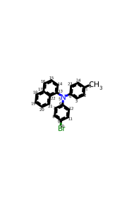 Cc1ccc(N(c2ccc(Br)cc2)c2cccc3ccccc23)cc1